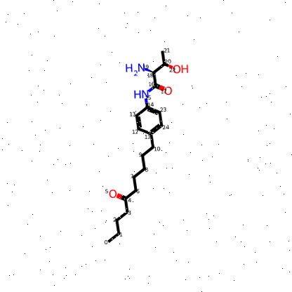 CCCCC(=O)CCCCCc1ccc(NC(=O)[C@@H](N)C(C)O)cc1